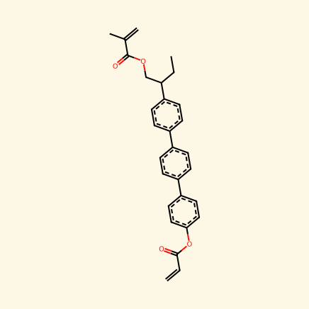 C=CC(=O)Oc1ccc(-c2ccc(-c3ccc(C(CC)COC(=O)C(=C)C)cc3)cc2)cc1